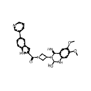 COc1cc2c(cc1OC)C(=N)N(C1CN(C(=O)c3cc4cc(-c5cccnc5)ccc4[nH]3)C1)C(O)N2